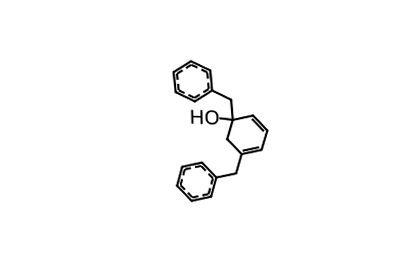 OC1(Cc2ccccc2)C=CC=C(Cc2ccccc2)C1